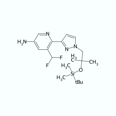 CC(C)(Cn1ccc(-c2ncc(N)cc2C(F)F)n1)O[Si](C)(C)C(C)(C)C